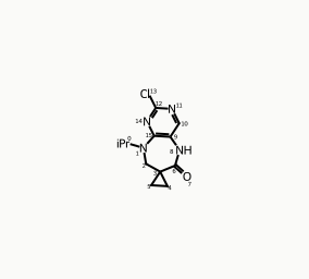 CC(C)N1CC2(CC2)C(=O)Nc2cnc(Cl)nc21